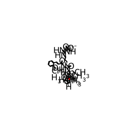 COc1ccccc1C=CC(=O)N[C@@H](CCCNC(=N)N[N+](=O)[O-])C(=O)N[C@@H](CC(C)C)B1O[C@@H]2C[C@@H]3C[C@@H](C3(C)C)[C@]2(C)O1